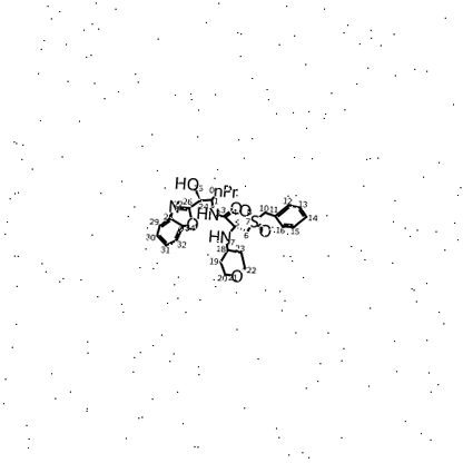 CCCC(NC(=O)[C@H](CS(=O)(=O)Cc1ccccc1)NC1CCOCC1)[C@H](O)c1nc2ccccc2o1